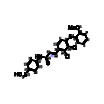 COc1ccccc1Sc1ccc(/C=C/C(=O)Nc2ccc(S(=O)(=O)O)cc2)c(Cl)c1Cl